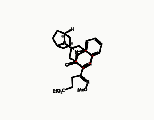 CCOC(=O)CCC(=NOC)c1nc2ccccc2n([C@@H]2CC3CC[C@H](C2)N3C2CC3CCCC(C3)C2)c1=O